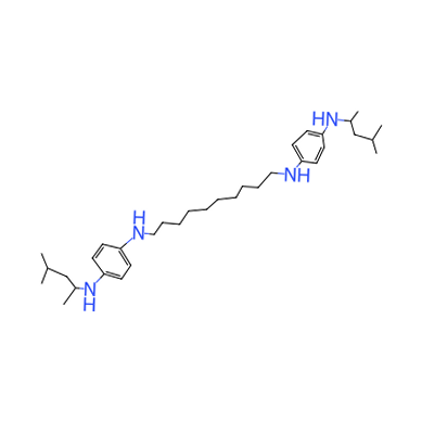 CC(C)CC(C)Nc1ccc(NCCCCCCCCCCNc2ccc(NC(C)CC(C)C)cc2)cc1